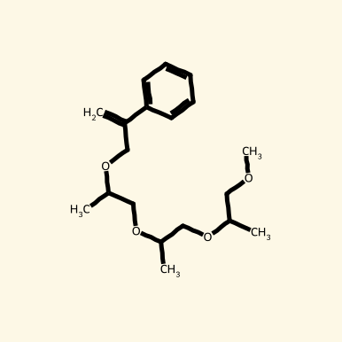 C=C(COC(C)COC(C)COC(C)COC)c1ccccc1